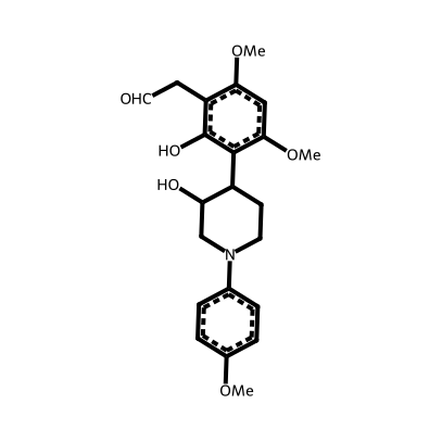 COc1ccc(N2CCC(c3c(OC)cc(OC)c(CC=O)c3O)C(O)C2)cc1